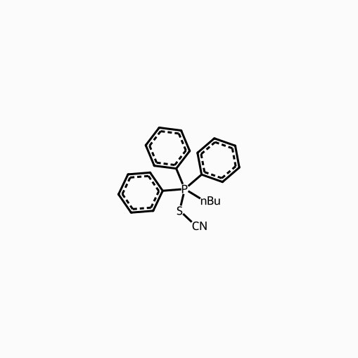 CCCCP(SC#N)(c1ccccc1)(c1ccccc1)c1ccccc1